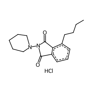 CCCCc1cccc2c1C(=O)N(N1CCCCC1)C2=O.Cl